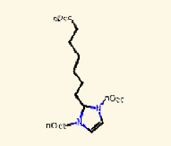 CCCCCCCCCCCCCCCCC1N(CCCCCCCC)C=CN1CCCCCCCC